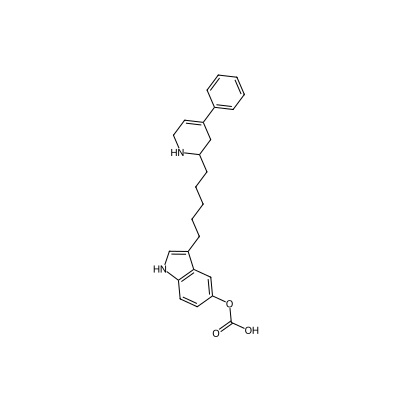 O=C(O)Oc1ccc2[nH]cc(CCCCCC3CC(c4ccccc4)=CCN3)c2c1